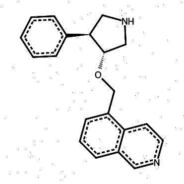 c1ccc([C@H]2CNC[C@@H]2OCc2cccc3cnccc23)cc1